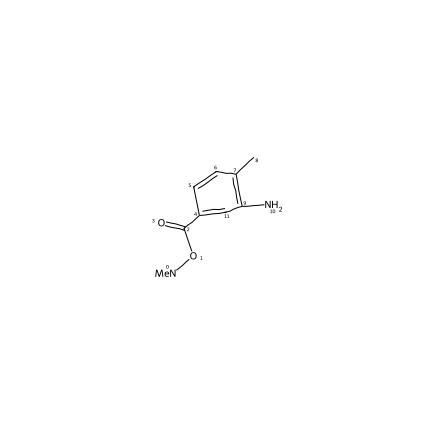 CNOC(=O)c1ccc(C)c(N)c1